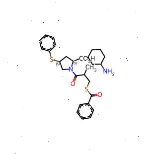 CC(CSC(=O)c1ccccc1)C(=O)N1C[C@@H](Sc2ccccc2)C[C@H]1C(=O)O.NC1CCCCC1